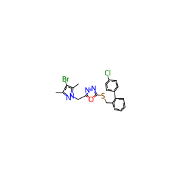 Cc1nn(Cc2nnc(SCc3ccccc3-c3ccc(Cl)cc3)o2)c(C)c1Br